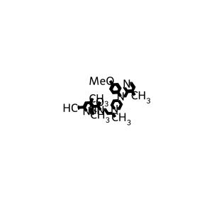 C#Cc1cc(C)c(C(=O)NCCC(C)N2CCC(N(Cc3cnccc3C)c3ccc(OC)cc3)CC2)c(C)n1